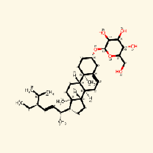 CC[C@H](/C=C/[C@@H](C)[C@H]1CC[C@H]2[C@@H]3CC=C4C[C@@H](O[C@@H]5OC(CO)[C@@H](O)C(O)C5O)CC[C@]4(C)[C@H]3CC[C@]12C)C(C)C